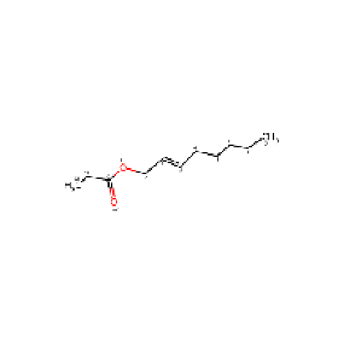 CCCCCC=CCOC(=O)CC